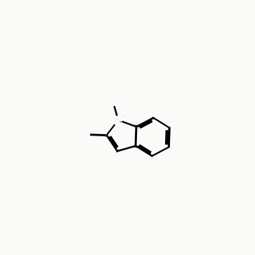 CCc1cc2ccccc2n1CC